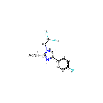 CC(=O)Nc1nc(-c2ccc(F)cc2)cn1CC(F)F